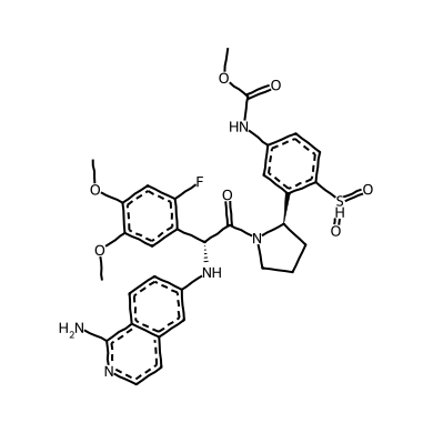 COC(=O)Nc1ccc([SH](=O)=O)c([C@H]2CCCN2C(=O)[C@H](Nc2ccc3c(N)nccc3c2)c2cc(OC)c(OC)cc2F)c1